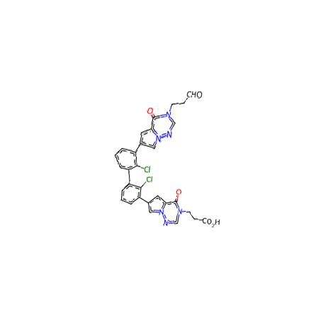 O=CCCn1cnn2cc(-c3cccc(-c4cccc(-c5cc6c(=O)n(CCC(=O)O)cnn6c5)c4Cl)c3Cl)cc2c1=O